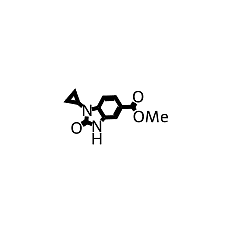 COC(=O)C1=CC2NC(=O)N(C3CC3)C2C=C1